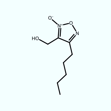 CCCCCc1no[n+]([O-])c1CO